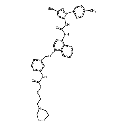 Cc1ccc(-n2nc(C(C)(C)C)cc2NC(=O)Nc2ccc(OCc3ccnc(NC(=O)CSCCN4CCOCC4)c3)c3ccccc23)cc1